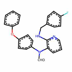 O=CN(c1ccc(Oc2ccccc2)cc1)c1cccnc1NCc1ccc(F)cc1